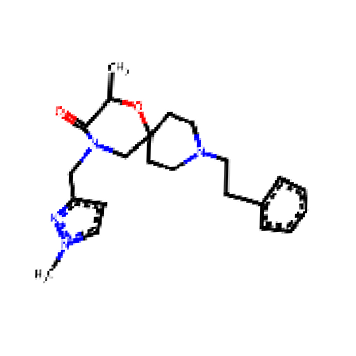 CC1OC2(CCN(CCc3ccccc3)CC2)CN(Cc2ccn(C)n2)C1=O